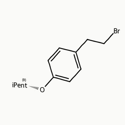 CCC[C@@H](C)Oc1ccc(CCBr)cc1